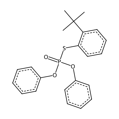 CC(C)(C)c1ccccc1SP(=O)(Oc1ccccc1)Oc1ccccc1